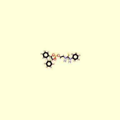 S=C(NCCOP1O[C@H](c2ccccc2)[C@@H](c2ccccc2)O1)Nc1ccccc1